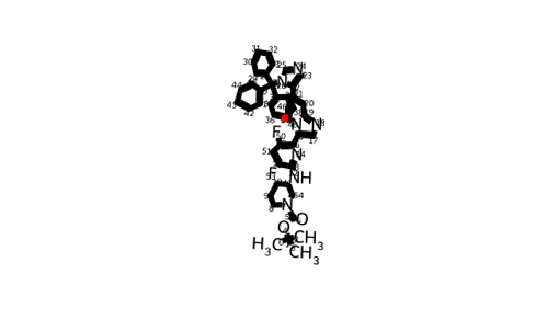 CC(C)(C)OC(=O)N1CCCC(Nc2nc(-c3cnc4cc(-c5cncn5C(c5ccccc5)(c5ccccc5)c5ccccc5)ccn34)c(F)cc2F)C1